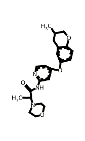 CC1COc2ccc(Oc3ccnc(NC(=O)C(C)N4CCOCC4)c3)cc2C1